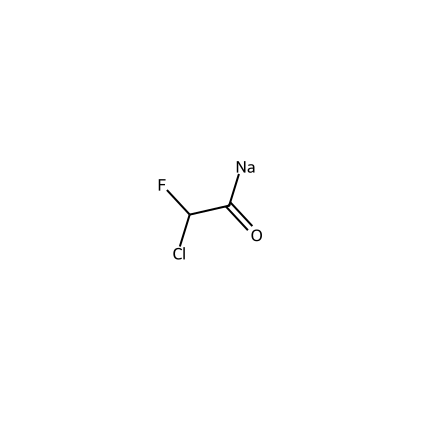 O=[C]([Na])C(F)Cl